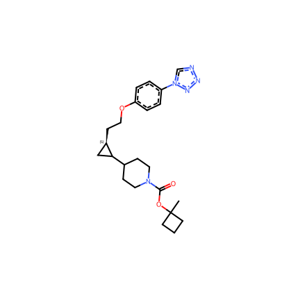 CC1(OC(=O)N2CCC(C3C[C@H]3CCOc3ccc(-n4cnnn4)cc3)CC2)CCC1